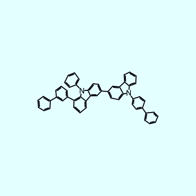 c1ccc(-c2ccc(-n3c4ccccc4c4cc(-c5ccc6c(c5)c5cccc(-c7cccc(-c8ccccc8)c7)c5n6-c5ccccc5)ccc43)cc2)cc1